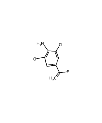 C=C(F)c1cc(Cl)c(N)c(Cl)c1